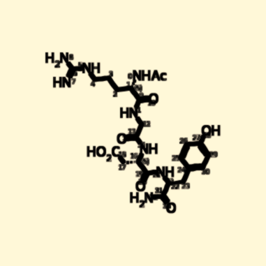 CC(=O)N[C@@H](CCCNC(=N)N)C(=O)NCC(=O)N[C@@H](CC(=O)O)C(=O)N[C@@H](Cc1ccc(O)cc1)C(N)=O